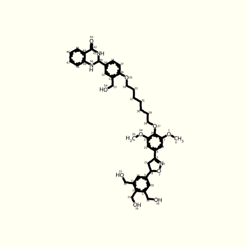 COc1cc(C2=NOC(c3cc(CO)c(CO)c(CO)c3)C2)cc(OC)c1OCCCCCCCOc1ccc(C2NC(=O)c3ccccc3N2)cc1CO